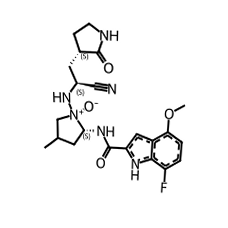 COc1ccc(F)c2[nH]c(C(=O)N[C@@H]3CC(C)C[N+]3([O-])N[C@H](C#N)C[C@@H]3CCNC3=O)cc12